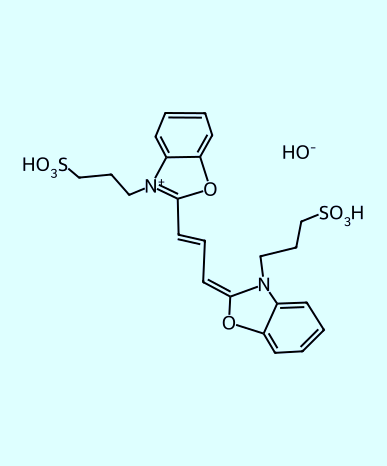 O=S(=O)(O)CCCN1C(=CC=Cc2oc3ccccc3[n+]2CCCS(=O)(=O)O)Oc2ccccc21.[OH-]